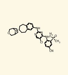 CP(C)(=O)c1cc(C#N)ccc1Nc1nc(Nc2ccc3c(c2)CC[C@H](N2C4CCC2COC4)CC3)ncc1Cl